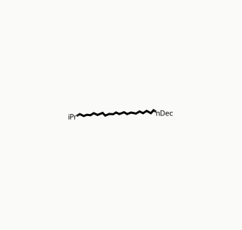 [CH2]C(C)CCCCCCCCCCCCCCCCCCCCCCCCCCCCCCC